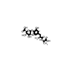 C[C@H](NC(=O)[C@@H](N)Cc1ccc(OC2O[C@H](C(=O)O)[C@@H](O)[C@H](O)[C@H]2O)c(O)c1)C(=O)O